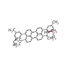 C=C(NC)c1ccc2c3ccc(C(C)C)c4c(-c5cc(C)cc(C)c5)ccc(c5ccc(-c6cc(C)cc(C)c6)c1c52)c43